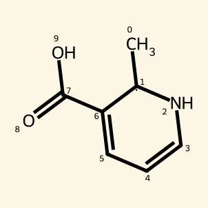 C[C]1NC=CC=C1C(=O)O